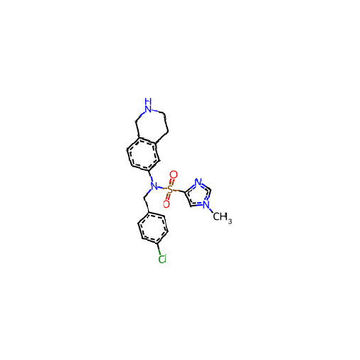 Cn1cnc(S(=O)(=O)N(Cc2ccc(Cl)cc2)c2ccc3c(c2)CCNC3)c1